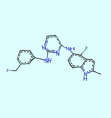 Cc1cc2c(F)c(Nc3ccnc(Nc4cccc(CI)c4)n3)ccc2[nH]1